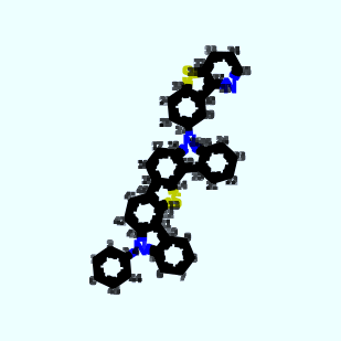 c1ccc(-n2c3ccccc3c3c4sc5c(ccc6c5c5ccccc5n6-c5ccc6sc7cccnc7c6c5)c4ccc32)cc1